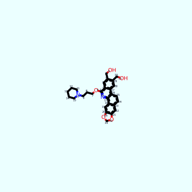 OCc1cc2c(OCCCN3CCCCC3)nc3c4cc5c(cc4ccc3c2cc1CO)OCO5